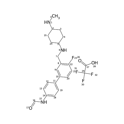 CNC1CCC(NCc2cc(-c3ccc(NC=O)cc3)ccc2F)CC1.O=C(O)C(F)(F)F